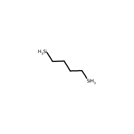 [SiH3]CCCC[SiH3]